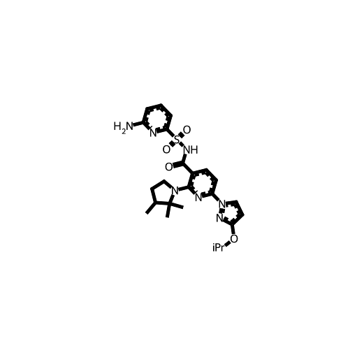 CC(C)Oc1ccn(-c2ccc(C(=O)NS(=O)(=O)c3cccc(N)n3)c(N3CCC(C)C3(C)C)n2)n1